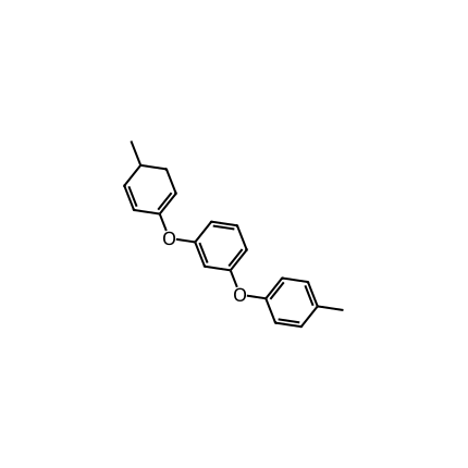 Cc1ccc(Oc2cccc(OC3=CCC(C)C=C3)c2)cc1